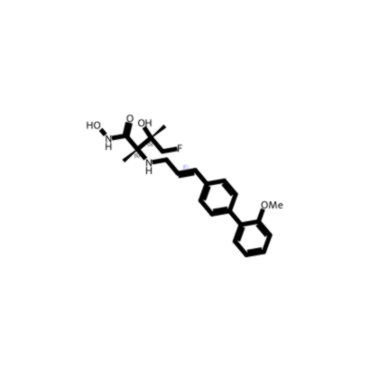 COc1ccccc1-c1ccc(/C=C/CN[C@](C)(C(=O)NO)[C@](C)(O)CF)cc1